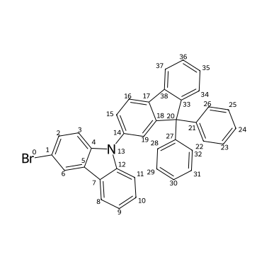 Brc1ccc2c(c1)c1ccccc1n2-c1ccc2c(c1)C(c1ccccc1)(c1ccccc1)c1ccccc1-2